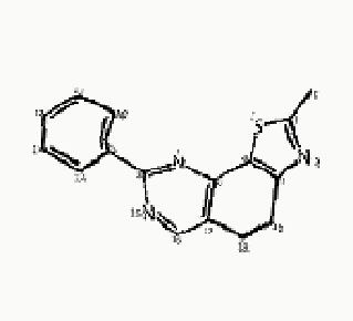 Cc1nc2c(s1)-c1nc(-c3ccccc3)ncc1CC2